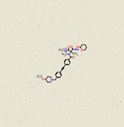 CNC(=O)C(C)(C(=O)NOC1CCCCO1)N(C)C(=O)c1ccc(C#Cc2ccc(CN3CCC(OC)CC3)cc2)cc1